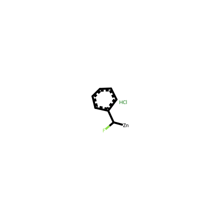 Cl.F[CH]([Zn])c1ccccc1